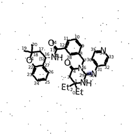 CCC1(CC)CC(=O)N(Cc2cccc(C(=O)N[C@H]3CC(C)(C)Oc4ccccc43)c2)/C(=N\c2ccncc2)N1